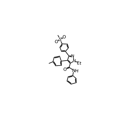 CCn1nc(-c2ccc(S(C)(=O)=O)cc2)c(-c2ccc(C)cc2)c1C(=O)Nc1ccccc1